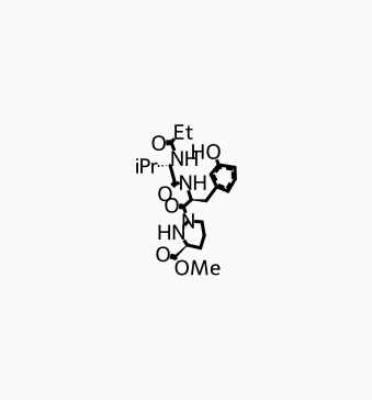 CCC(=O)N[C@H](C(=O)N[C@@H](Cc1cccc(O)c1)C(=O)N1CCC[C@@H](C(=O)OC)N1)C(C)C